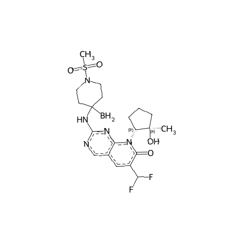 BC1(Nc2ncc3cc(C(F)F)c(=O)n([C@@H]4CCC[C@@]4(C)O)c3n2)CCN(S(C)(=O)=O)CC1